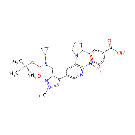 Cn1cc(-c2cnc([N+](=O)[O-])c(N3CCC[C@@H]3c3cc(F)cc(C(=O)O)c3)c2)c(CN(C(=O)OC(C)(C)C)C2CC2)n1